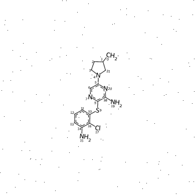 [CH2]C1CCN(c2cnc(Sc3cccc(N)c3Cl)c(N)n2)C1